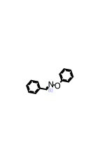 C(=N\Oc1ccccc1)/c1ccccc1